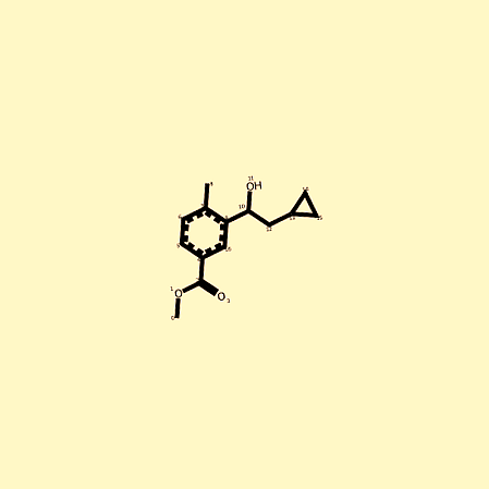 COC(=O)c1ccc(C)c(C(O)CC2CC2)c1